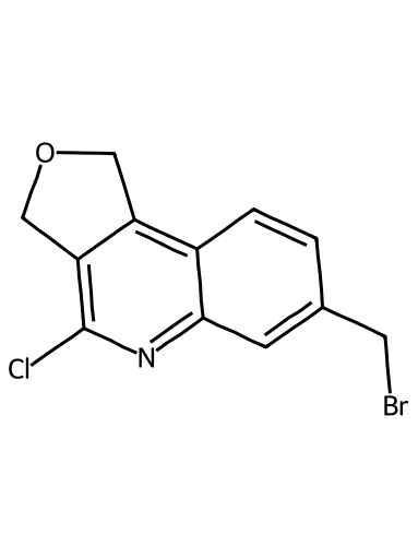 Clc1nc2cc(CBr)ccc2c2c1COC2